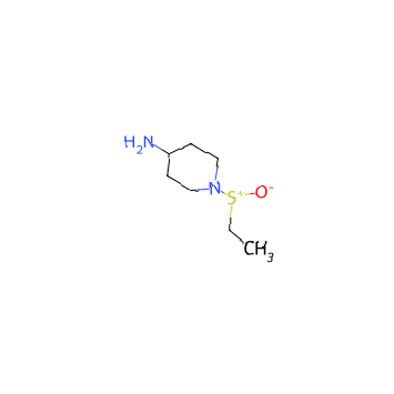 CC[S+]([O-])N1CCC(N)CC1